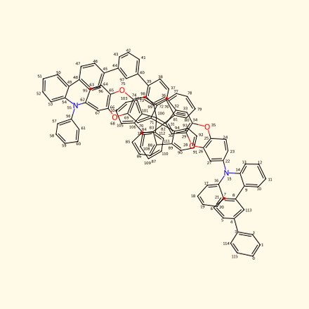 c1ccc(-c2cccc(-c3ccccc3N(c3ccccc3)c3ccc4c(c3)Oc3cc5c(cc3O4)-c3ccc(-c4cccc(-c6ccc(-c7ccccc7N(c7ccccc7)c7ccc8c(c7)Oc7cc9c(cc7O8)-c7ccccc7C97c8ccccc8-c8ccccc87)cc6)c4)cc3C53c4ccccc4-c4ccccc43)c2)cc1